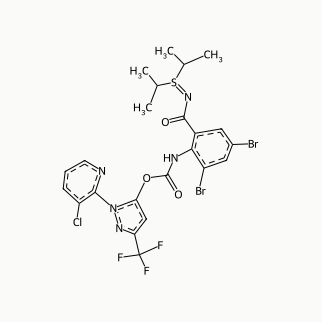 CC(C)S(=NC(=O)c1cc(Br)cc(Br)c1NC(=O)Oc1cc(C(F)(F)F)nn1-c1ncccc1Cl)C(C)C